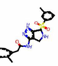 Cc1cccc(S(=O)(=O)C2NCc3c(NC(=O)Cc4ccccc4C)n[nH]c32)c1